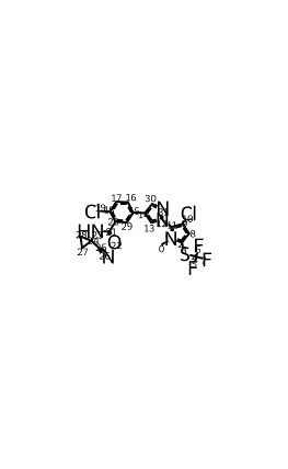 Cn1c(SC(F)(F)F)cc(Cl)c1-n1cc(-c2ccc(Cl)c(C(=O)NC3(C#N)CC3)c2)cn1